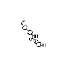 CC(C)CN1CCC(c2ccc(NC(=O)N3C=C4C=CNC=C4C3)cc2)CC1